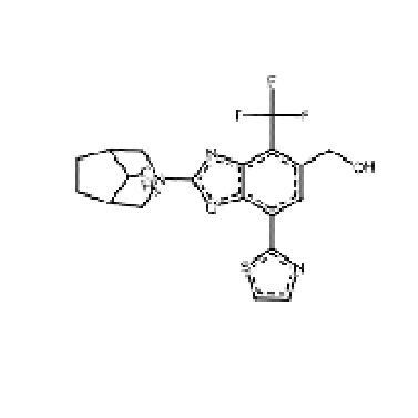 CC1C2CCC1CN(c1nc3c(C(F)(F)F)c(CO)cc(-c4nccs4)c3o1)C2